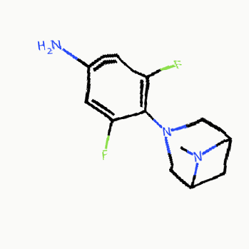 CN1C2CC1CN(c1c(F)cc(N)cc1F)C2